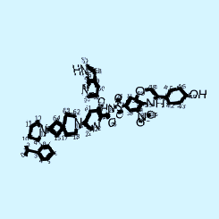 CC(C)c1ccccc1[C@@H]1CCCN1C1CC2(CCN(c3cnc(C(=O)NS(=O)(=O)c4cc5c(c([N+](=O)[O-])c4)NC(C4CCC(O)CC4)CO5)c(Oc4cnc5[nH]ccc5c4)c3)CC2)C1